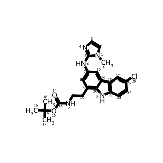 Cn1ccnc1Nc1cc(CCNC(=O)OC(C)(C)C)c2[nH]c3ccc(Cl)cc3c2c1